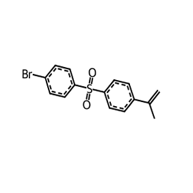 C=C(C)c1ccc(S(=O)(=O)c2ccc(Br)cc2)cc1